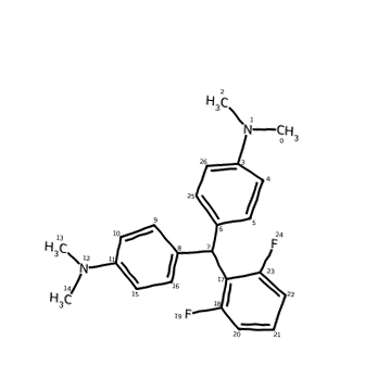 CN(C)c1ccc(C(c2ccc(N(C)C)cc2)c2c(F)cccc2F)cc1